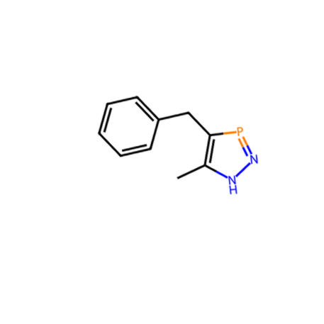 Cc1[nH]npc1Cc1ccccc1